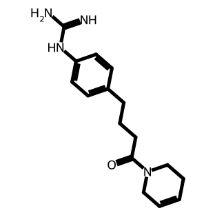 N=C(N)Nc1ccc(CCCC(=O)N2CC=CCC2)cc1